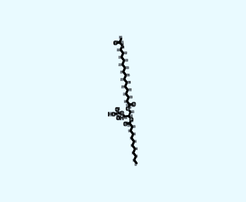 CCCCCCCCCCCC(=O)O[C@H](COC(=O)CCCCCCCCCCCCCCCSC(C)=O)COP(=O)(O)O